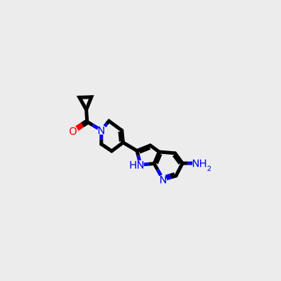 Nc1cnc2[nH]c(C3=CCN(C(=O)C4CC4)CC3)cc2c1